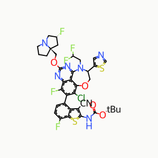 CC(C)(C)OC(=O)Nc1sc2c(F)ccc(-c3c(Cl)c4c5c(nc(OC[C@@]67CCCN6C[C@H](F)C7)nc5c3F)N(CC(F)F)C(c3cncs3)CO4)c2c1C#N